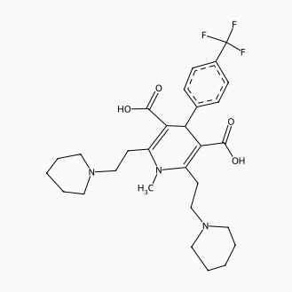 CN1C(CCN2CCCCC2)=C(C(=O)O)C(c2ccc(C(F)(F)F)cc2)C(C(=O)O)=C1CCN1CCCCC1